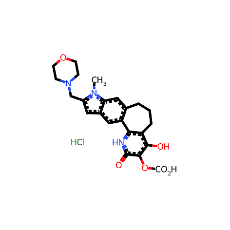 Cl.Cn1c(CN2CCOCC2)cc2cc3c(cc21)CCCc1c-3[nH]c(=O)c(OC(=O)O)c1O